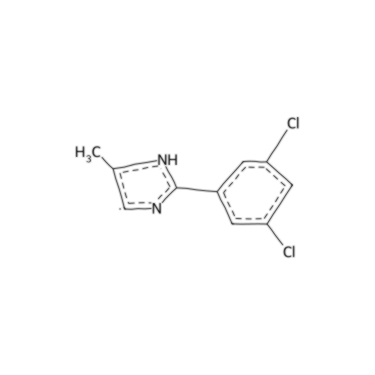 Cc1[c]nc(-c2cc(Cl)cc(Cl)c2)[nH]1